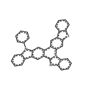 c1ccc(-n2c3ccccc3c3cc4c(cc32)c2cc3c(cc2n2c5ccccc5nc42)sc2ccccc23)cc1